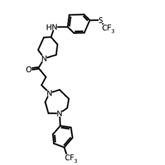 O=C(CCN1CCCN(c2ccc(C(F)(F)F)cc2)CC1)N1CCC(Nc2ccc(SC(F)(F)F)cc2)CC1